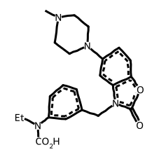 CCN(C(=O)O)c1cccc(Cn2c(=O)oc3ccc(N4CCN(C)CC4)cc32)c1